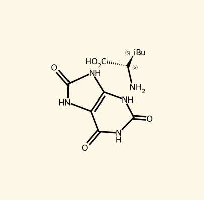 CC[C@H](C)[C@H](N)C(=O)O.O=c1[nH]c(=O)c2[nH]c(=O)[nH]c2[nH]1